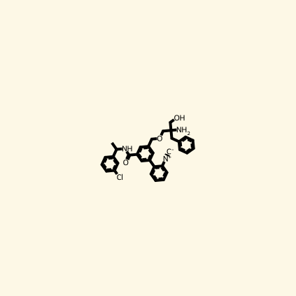 [C-]#[N+]c1ccccc1-c1cc(COCC(N)(CO)Cc2ccccc2)cc(C(=O)NC(C)c2cccc(Cl)c2)c1